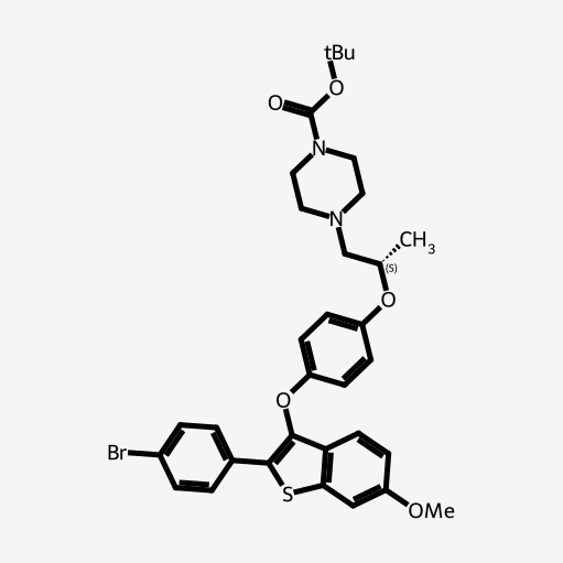 COc1ccc2c(Oc3ccc(O[C@@H](C)CN4CCN(C(=O)OC(C)(C)C)CC4)cc3)c(-c3ccc(Br)cc3)sc2c1